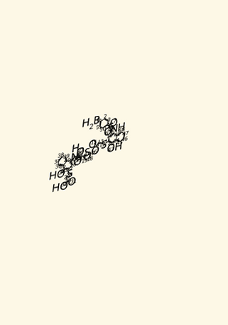 Bc1ccc(S(=O)(=O)Nc2cc(SCC(=O)Oc3ccc(S(=O)(=O)Nc4cc(SCC(=O)O)c(O)c5ccccc45)s3)c(O)c3ccccc23)cc1